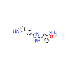 NC(=O)c1ccc(-c2cnn3cc(-c4ccc(C5CCC6CNC6C5)cc4)cnc23)c2ccccc12